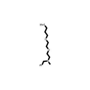 CSCCCOCCOCCN(C)CC(C)C